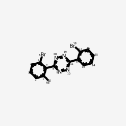 Fc1cccc(Br)c1-c1nnc(-c2ccccc2Br)nn1